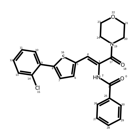 O=C(NC(=Cc1ccc(-c2ccccc2Cl)s1)C(=O)N1CCOCC1)c1ccccc1